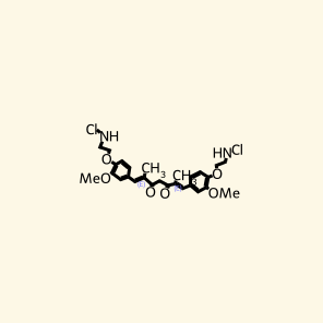 COc1cc(/C=C(\C)C(=O)CC(=O)/C(C)=C/c2ccc(OCCNCl)c(OC)c2)ccc1OCCNCl